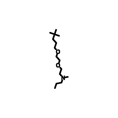 CCCN(C)CCOCCOCCCC(C)(C)C